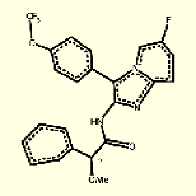 CO[C@H](C(=O)Nc1nc2ccc(F)cn2c1-c1ccc(OC(F)(F)F)cc1)c1ccccc1